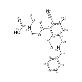 CC1CN(c2c(C#N)c(Cl)nc3c2CCN(Cc2ccccc2)C3)CCN1C(=O)O